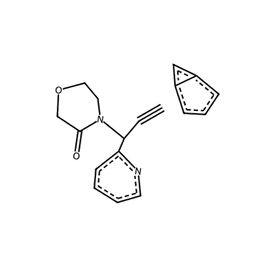 C#CC(c1ccccn1)N1CCOCC1=O.c1cc2cc-2c1